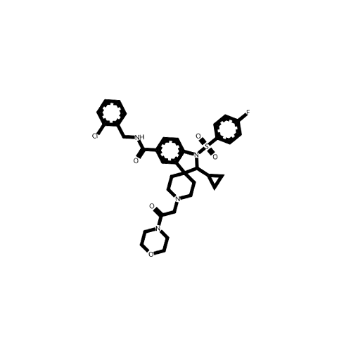 O=C(NCc1ccccc1Cl)c1ccc2c(c1)C1(CCN(CC(=O)N3CCOCC3)CC1)C(C1CC1)N2S(=O)(=O)c1ccc(F)cc1